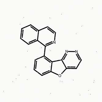 c1ccc2c(-c3cccc4oc5ccnnc5c34)nccc2c1